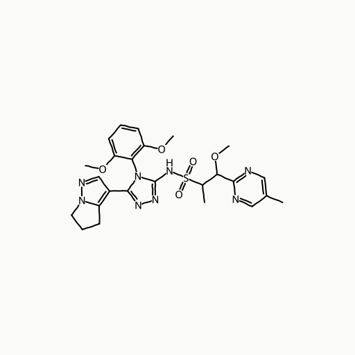 COc1cccc(OC)c1-n1c(NS(=O)(=O)C(C)C(OC)c2ncc(C)cn2)nnc1-c1cnn2c1CCC2